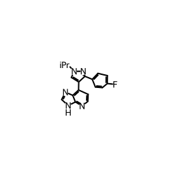 CC(C)n1cc(-c2ccnc3[nH]cnc23)c(-c2ccc(F)cc2)n1